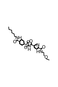 CCCCCCNC(=O)c1ccc(S(=O)(=O)NC(=O)c2ccc(C(=O)NCCOCC)nc2)cc1